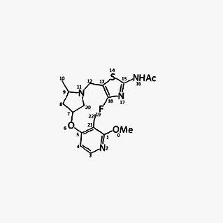 COc1nccc(OC2CC(C)N(Cc3sc(NC(C)=O)nc3F)C2)c1C